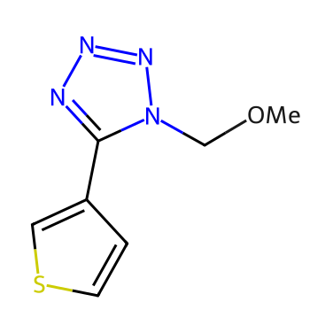 COCn1nnnc1-c1ccsc1